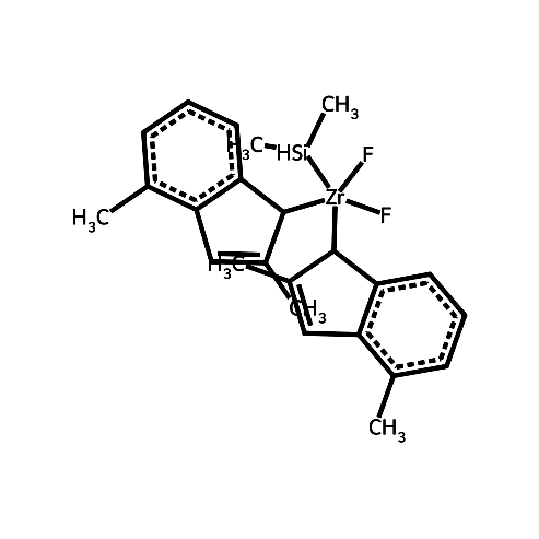 CC1=Cc2c(C)cccc2[CH]1[Zr]([F])([F])([CH]1C(C)=Cc2c(C)cccc21)[SiH](C)C